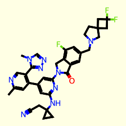 Cc1cc(-c2cc(NC3(CC#N)CC3)nc(N3Cc4c(F)cc(CN5CCC6(C5)CC(F)(F)C6)cc4C3=O)c2)c(-c2nncn2C)cn1